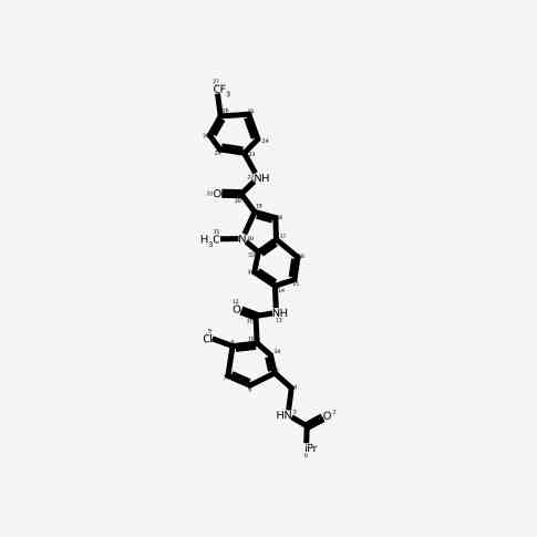 CC(C)C(=O)NCc1ccc(Cl)c(C(=O)Nc2ccc3cc(C(=O)Nc4ccc(C(F)(F)F)cc4)n(C)c3c2)c1